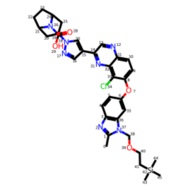 Cc1nc2ccc(Oc3ccc4ncc(-c5cnn(C6CC7CCC(C6)N7C(=O)O)c5)nc4c3Cl)cc2n1COCC[Si](C)(C)C